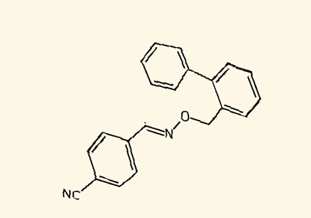 N#Cc1ccc(/[C]=N/OCc2ccccc2-c2ccccc2)cc1